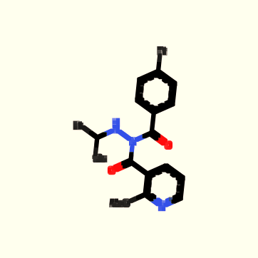 CCc1ccc(C(=O)N(NC(CC)C(C)(C)C)C(=O)c2cccnc2OC)cc1